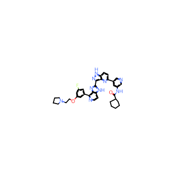 O=C(Nc1cncc(-c2ccc3[nH]nc(-c4nc5c(-c6cc(F)cc(OCCN7CCCC7)c6)nccc5[nH]4)c3n2)c1)C1CCCCC1